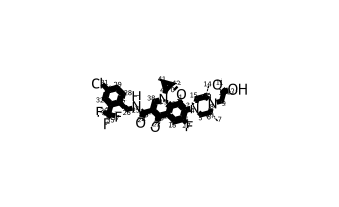 COc1c(N2C[C@@H](C)N(CC(=O)O)[C@@H](C)C2)c(F)cc2c(=O)c(C(=O)NCc3ccc(Cl)cc3C(F)(F)F)cn(C3CC3)c12